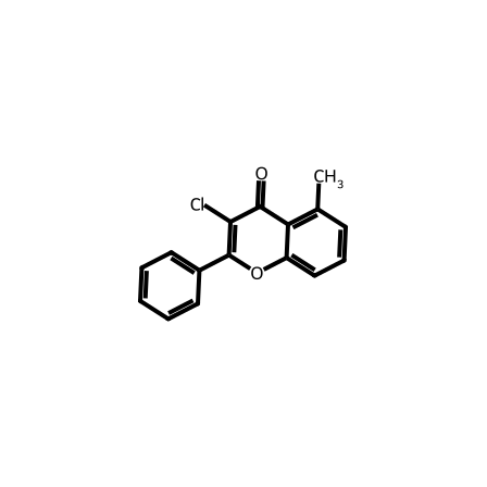 Cc1cccc2oc(-c3ccccc3)c(Cl)c(=O)c12